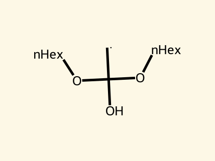 [CH2]C(O)(OCCCCCC)OCCCCCC